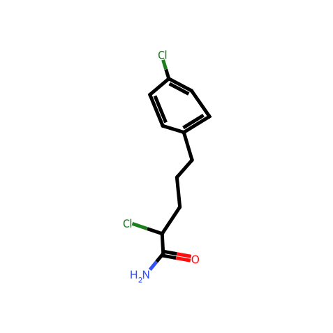 NC(=O)C(Cl)CCCc1ccc(Cl)cc1